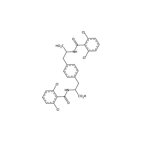 O=C(NC(Cc1ccc(CC(NC(=O)c2c(Cl)cccc2Cl)C(=O)O)cc1)C(=O)O)c1c(Cl)cccc1Cl